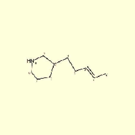 [CH2]C=CCCC1CCCNC1